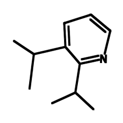 CC(C)c1cccnc1C(C)C